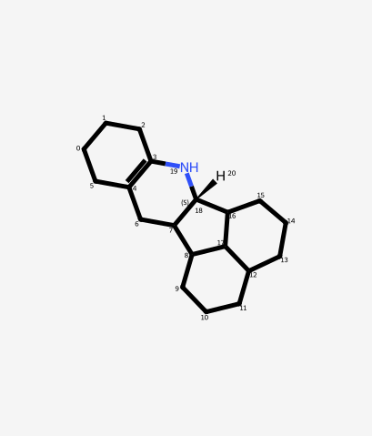 C1CCC2=C(C1)CC1C3CCCC4CCCC(C43)[C@H]1N2